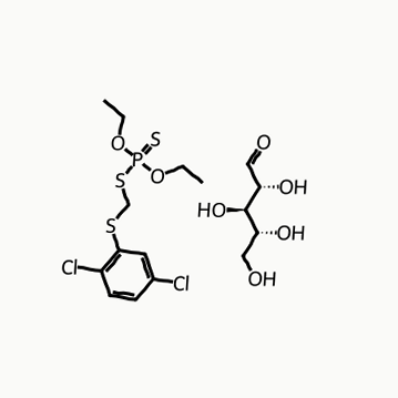 CCOP(=S)(OCC)SCSc1cc(Cl)ccc1Cl.O=C[C@H](O)[C@H](O)[C@H](O)CO